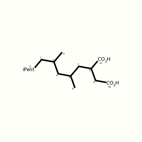 CCCC(C)CC(C)CC(C)CC(CC(=O)O)C(=O)O